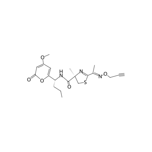 C#CCO/N=C(\C)C1=N[C@](C)(C(=O)N[C@H](CCC)c2cc(OC)cc(=O)o2)CS1